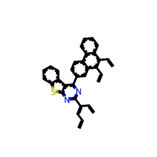 C=C/C=C(\C=C)c1nc(-c2ccc3c(c2)c(C=C)c(C=C)c2ccccc23)c2c(n1)sc1ccccc12